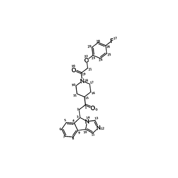 O=C(CC1c2ccccc2-c2cncn21)C1CCN(C(=O)COc2ccc(F)cc2)CC1